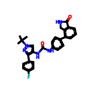 CC(C)(C)n1cc(NC(=O)Nc2ccc(-c3cccc4c3CNC4=O)cc2)c(-c2ccc(F)cc2)n1